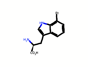 CCc1cccc2c(C[C@H](N)C(=O)O)c[nH]c12